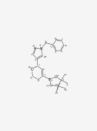 CC1(C)OB(C2=CC(c3cnn(Cc4ccccc4)c3)OCC2)OC1(C)C